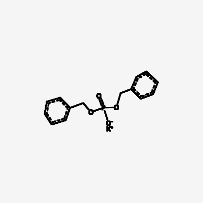 O=P([O-])(OCc1ccccc1)OCc1ccccc1.[K+]